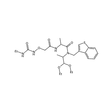 CCNC(=O)NOCC(=O)NC(C)C(=O)N(Cc1csc2ccccc12)C(C)C(OCC)OCC